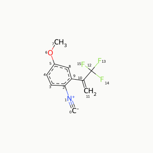 [C-]#[N+]c1ccc(OC)cc1C(=C)C(F)(F)F